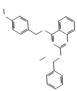 COc1ccc(CNc2nc(N[C@@H](CO)c3ccccc3)nc3ccccc23)cc1